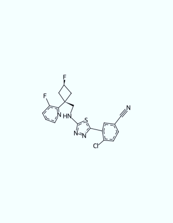 N#Cc1ccc(Cl)c(-c2nnc(NC[C@]3(c4ncccc4F)C[C@H](F)C3)s2)c1